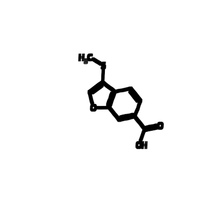 CSc1coc2cc(C(=O)O)ccc12